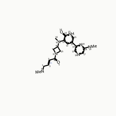 CNC/C=C/C(=O)N1CC(N(C)c2cc(-c3cncc(NC)n3)c[nH]c2=O)C1